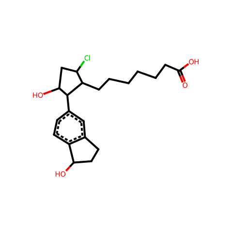 O=C(O)CCCCCCC1C(Cl)CC(O)C1c1ccc2c(c1)CCC2O